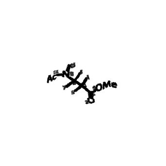 COC(=O)C(C)(C)C(C)(C)N(C)C(C)=O